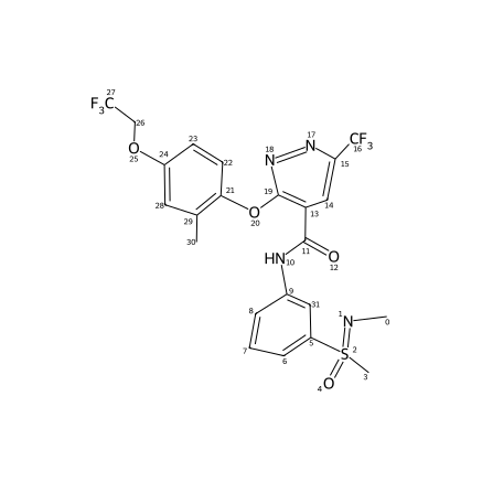 CN=S(C)(=O)c1cccc(NC(=O)c2cc(C(F)(F)F)nnc2Oc2ccc(OCC(F)(F)F)cc2C)c1